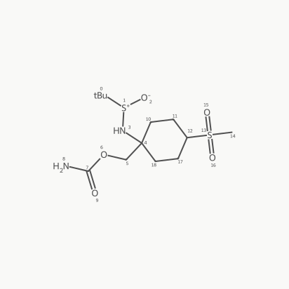 CC(C)(C)[S+]([O-])NC1(COC(N)=O)CCC(S(C)(=O)=O)CC1